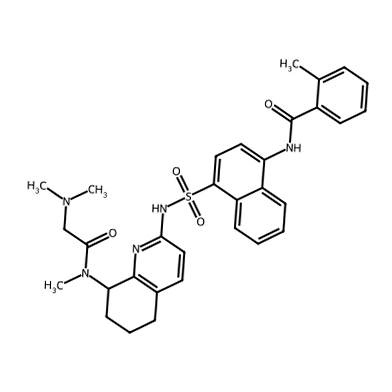 Cc1ccccc1C(=O)Nc1ccc(S(=O)(=O)Nc2ccc3c(n2)C(N(C)C(=O)CN(C)C)CCC3)c2ccccc12